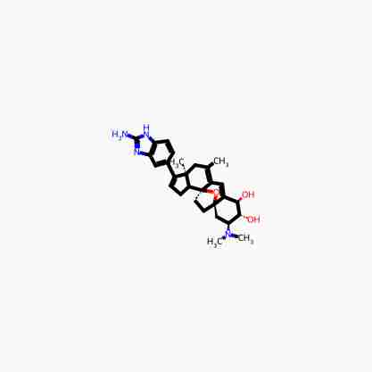 CC1=C2C=C3[C@@H](O)[C@H](O)[C@@H](N(C)C)C[C@]34CC[C@]2(O4)C2CC=C(c3ccc4[nH]c(N)nc4c3)[C@@]2(C)C1